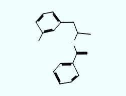 CC(Cc1cccc(Cl)c1)NC(=O)c1ccccc1